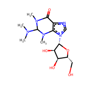 CN(C)C1N(C)C(=O)c2ncn([C@@H]3O[C@H](CO)[C@@H](O)[C@H]3O)c2N1C